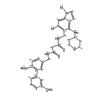 CCc1nc2c(cnn2CC)c(NC2CCOCC2)c1CNC(=O)CC(=O)NCc1ccc(OC)c(-c2cccc(C=O)c2)c1